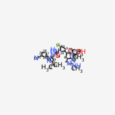 CNc1ncc2cc(-c3ccc(F)c(NC(=O)Nc4cc(C(C)C)nn4-c4cccc(C#N)c4)c3)c(=O)n(C(C)(C)CO)c2n1